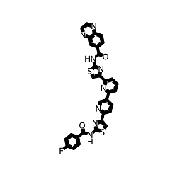 O=C(Nc1nc(-c2ccc(-c3cccc(-c4csc(NC(=O)c5ccc6nccnc6c5)n4)n3)cn2)cs1)c1ccc(F)cc1